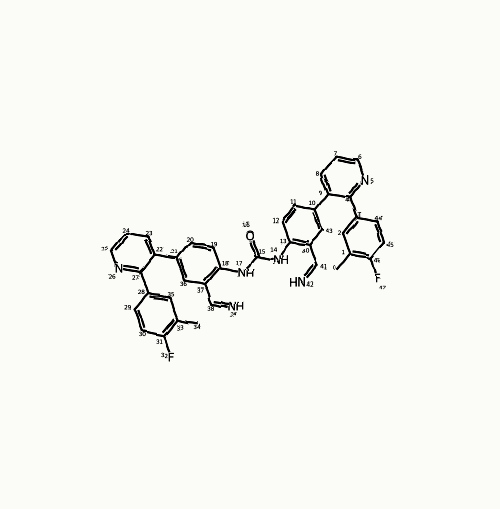 Cc1cc(-c2ncccc2-c2ccc(NC(=O)Nc3ccc(-c4cccnc4-c4ccc(F)c(C)c4)cc3C=N)c(C=N)c2)ccc1F